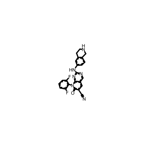 N#Cc1cc2cnc(Nc3ccc4c(c3)CCNC4)nc2n(-c2c(F)cccc2F)c1=O